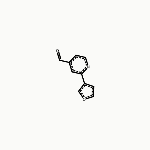 O=Cc1ccnc(-c2ccoc2)c1